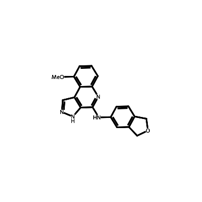 COc1cccc2nc(Nc3ccc4c(c3)COC4)c3[nH]ncc3c12